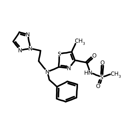 Cc1sc(N(CCn2nccn2)Cc2ccccc2)nc1C(=O)NS(C)(=O)=O